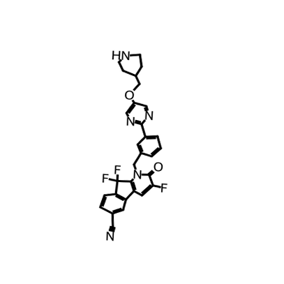 N#Cc1ccc2c(c1)-c1cc(F)c(=O)n(Cc3cccc(-c4ncc(OCC5CCNCC5)cn4)c3)c1C2(F)F